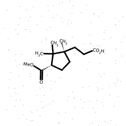 COC(=O)[C@H]1CC[C@](C)(CCC(=O)O)C1(C)C